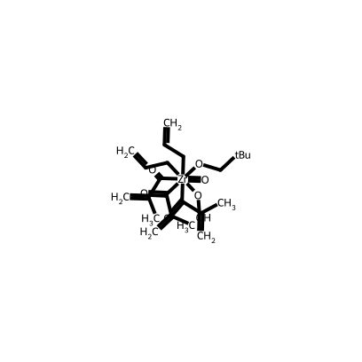 C=C[CH2][Zr](=[O])([CH2]C=C)([O]O)([O]CC(C)(C)C)([C](=O)C(=C)C)([C](=O)C(=C)C)[C](=O)C(=C)C